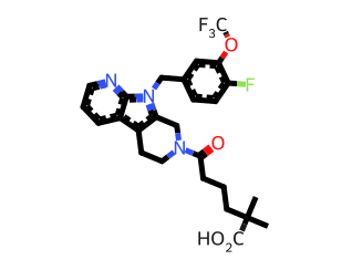 CC(C)(CCCC(=O)N1CCc2c(n(Cc3ccc(F)c(OC(F)(F)F)c3)c3ncccc23)C1)C(=O)O